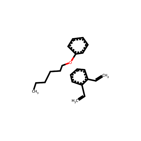 C=Cc1ccccc1C=C.CCCCCCOc1ccccc1